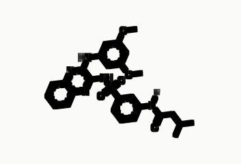 COc1cc(Nc2nc3ccccc3nc2NS(=O)(=O)c2cccc(N(F)C(=O)CC(C)C)c2)cc(OC)c1